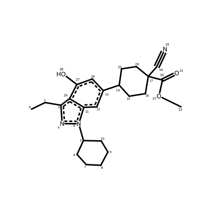 CCc1nn(C2CCCCC2)c2cc(C3CCC(C#N)(C(=O)OC)CC3)cc(O)c12